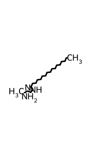 CCCCCCCCCCCCCCCCC1=NC(C(C)N)CN1